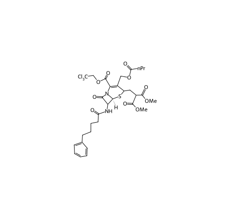 CCCC(=O)OCC1=C(C(=O)OCC(Cl)(Cl)Cl)N2C(=O)C(NC(=O)CCCCc3ccccc3)[C@@H]2SC1CC(C(=O)OC)C(=O)OC